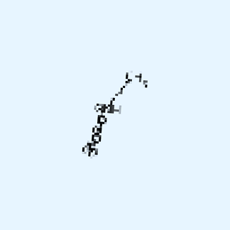 CCCCCCCCCCCNC(=O)c1ccc(COc2ccc(OS(=O)(=O)F)cc2)cc1